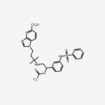 CCOC(=O)c1ccc2c(ncn2CCC(C)(C)NCC(OC(=O)C(F)(F)F)c2cccc(NS(=O)(=O)c3ccccc3)c2)n1